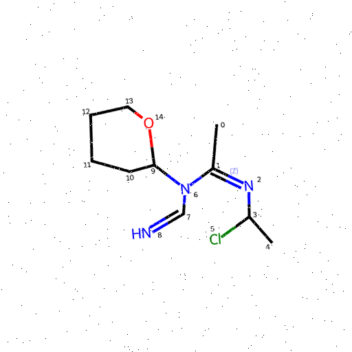 C/C(=N/C(C)Cl)N(C=N)C1CCCCO1